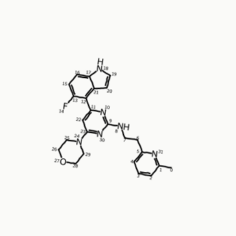 Cc1cccc(CCNc2nc(-c3c(F)ccc4[nH]ccc34)cc(N3CCOCC3)n2)n1